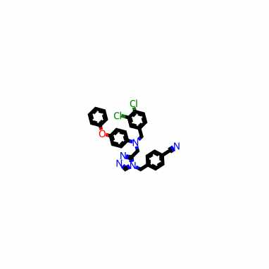 N#Cc1ccc(Cn2cnnc2CN(Cc2ccc(Cl)c(Cl)c2)c2ccc(Oc3ccccc3)cc2)cc1